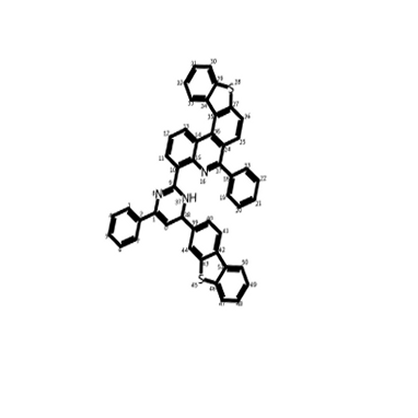 C1=C(c2ccccc2)N=C(c2cccc3c2nc(-c2ccccc2)c2ccc4sc5ccccc5c4c23)NC1c1ccc2c(c1)sc1ccccc12